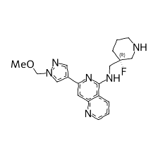 COCn1cc(-c2cc3ncccc3c(NC[C@@]3(F)CCCNC3)n2)cn1